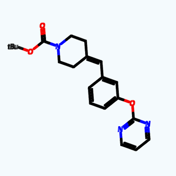 CC(C)(C)OC(=O)N1CCC(=Cc2cccc(Oc3ncccn3)c2)CC1